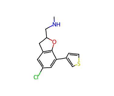 CNCC1Cc2cc(Cl)cc(-c3ccsc3)c2O1